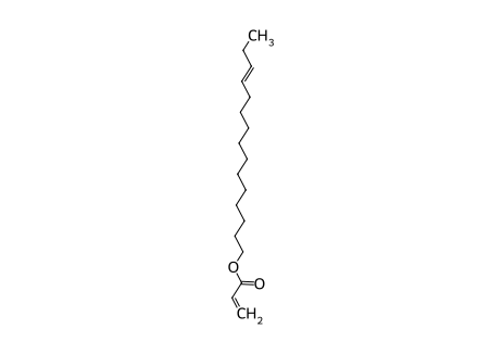 C=CC(=O)OCCCCCCCCCCCC=CCC